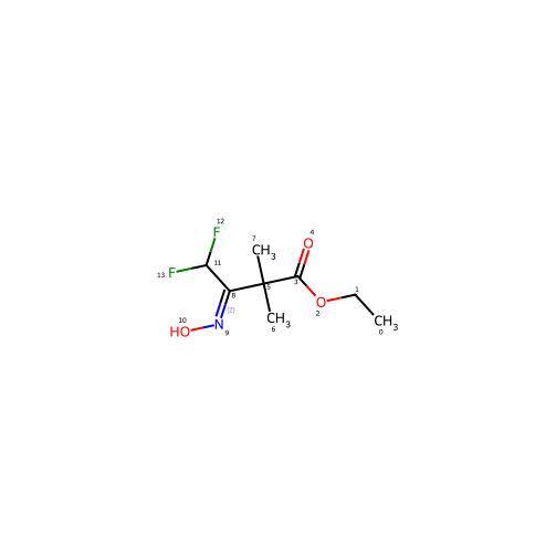 CCOC(=O)C(C)(C)/C(=N/O)C(F)F